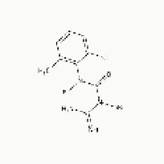 CCCCN(C(=N)N)C(=O)N(CC)c1c(C)cccc1Cl